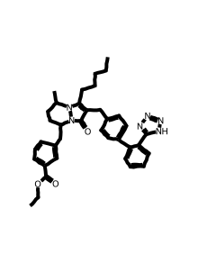 CCCCCc1c(Cc2ccc(-c3ccccc3-c3nnn[nH]3)cc2)c(=O)n2n1C(C)CCC2Cc1cccc(C(=O)OCC)c1